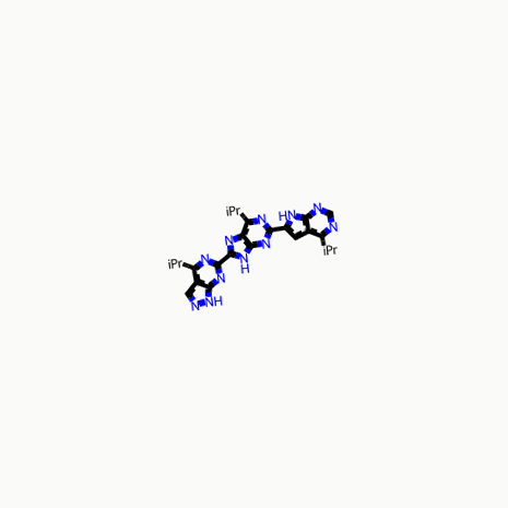 CC(C)c1nc(-c2nc3c(C(C)C)nc(-c4cc5c(C(C)C)ncnc5[nH]4)nc3[nH]2)nc2[nH]ncc12